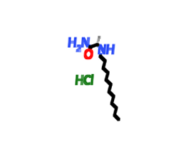 CCCCCCCCCCCCN[C@@H](C)C(N)=O.Cl